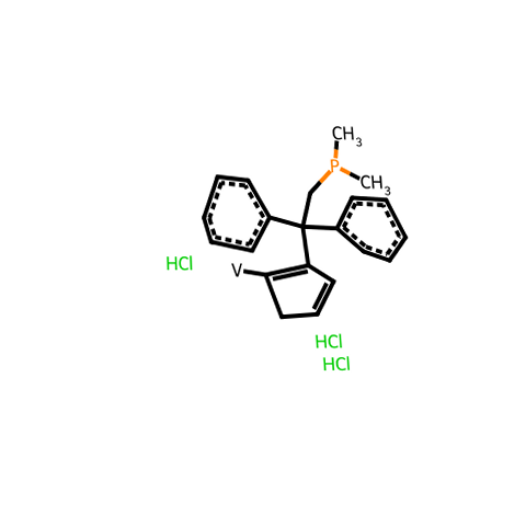 CP(C)CC(C1=[C]([V])CC=C1)(c1ccccc1)c1ccccc1.Cl.Cl.Cl